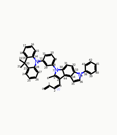 C=C/C=C\c1c(C)n(-c2cccc(N3c4ccccc4C(C)(C)c4ccccc43)c2)c2ccc3c(ccn3-c3ccccc3)c12